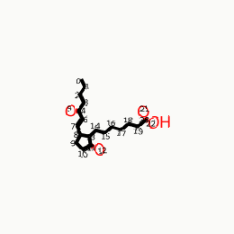 CCCCC(=O)C=CC1CCC(=O)C1CCCCCCC(=O)O